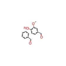 COc1cc(C=O)ccc1O.O=Cc1ccccc1